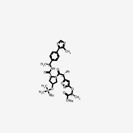 COC(=O)[C@H](C)Oc1cc([C@H](C(=O)N2CC(O[Si](C)(C)C(C)(C)C)C[C@H]2C(=O)N[C@@H](C)c2ccc(-c3scnc3C)cc2)C(C)C)on1